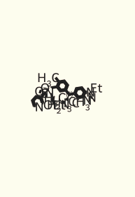 CCC1CN(Cc2cc([C@@H](c3ccc4c(nnn4CC)c3C)C(C)(C)N)ccc2C)S(=O)(=O)c2cccnc2O1